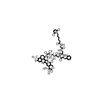 CCC[C@@]1(O)C(=O)OCc2c1cc1n(c2=O)Cc2c-1nc1cc(F)c(C)c3c1c2[C@@H](N(C)C(=O)[C@H](OCNC(=O)CNC(=O)[C@H](Cc1ccccc1)NC(=O)CNC(=O)CNC(=O)CCCCCN1C(=O)C=CC1=O)C(F)(F)F)CC3